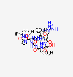 CC(C)[C@H](NC(=O)[C@@H]1CCCN1C(=O)[C@H](CC(=O)O)NC(=O)CNC(=O)[C@H](CC(=O)O)NC(=O)[C@H](CO)NC(=O)[C@H](CCCNC(=N)N)NC(=O)[C@@H](N)CCC(=O)O)C(=O)O